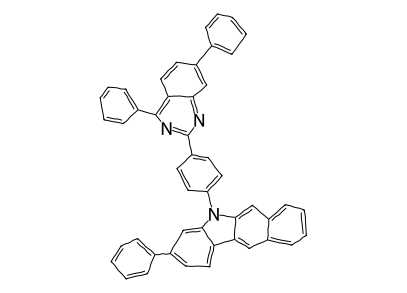 c1ccc(-c2ccc3c(-c4ccccc4)nc(-c4ccc(-n5c6cc(-c7ccccc7)ccc6c6cc7ccccc7cc65)cc4)nc3c2)cc1